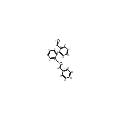 Cc1ccccc1.O=Cc1ccccc1.O=Cc1ccccc1